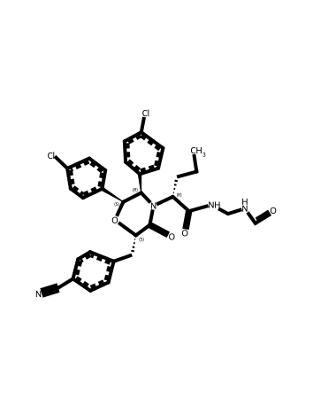 CCC[C@H](C(=O)NCNC=O)N1C(=O)[C@H](Cc2ccc(C#N)cc2)O[C@@H](c2ccc(Cl)cc2)[C@H]1c1ccc(Cl)cc1